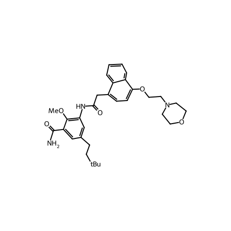 COc1c(NC(=O)Cc2ccc(OCCN3CCOCC3)c3ccccc23)cc(CCC(C)(C)C)cc1C(N)=O